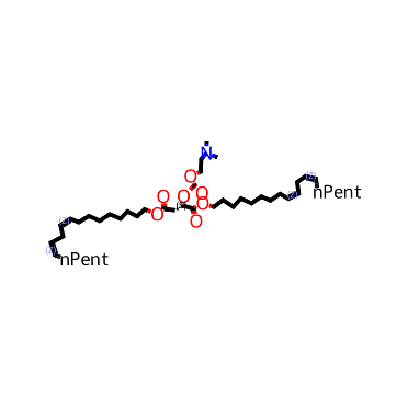 CCCCC/C=C\C/C=C\CCCCCCCCOC(=O)C[C@H](OC(=O)OCCN(C)C)C(=O)OCCCCCCCC/C=C\C/C=C\CCCCC